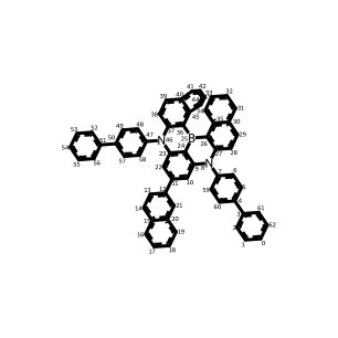 c1ccc(-c2ccc(N3c4cc(-c5ccc6ccccc6c5)cc5c4B(c4c3ccc3ccccc43)c3c(ccc4ccccc34)N5c3ccc(-c4ccccc4)cc3)cc2)cc1